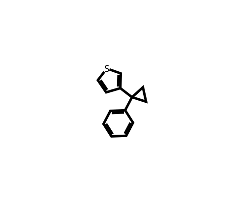 c1ccc(C2(c3ccsc3)CC2)cc1